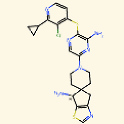 Nc1nc(N2CCC3(CC2)Cc2ncsc2[C@H]3N)cnc1Sc1ccnc(C2CC2)c1Cl